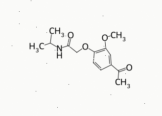 COc1cc(C(C)=O)ccc1OCC(=O)NC(C)C